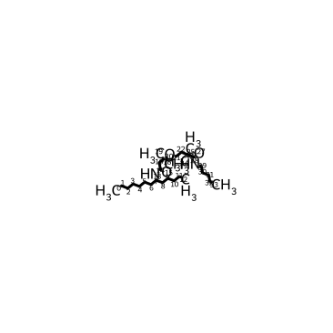 CCCCCCCC(CCCCC)NC(=O)CC(C)(C)OCCC(C)(C)C(=O)NCCCCC